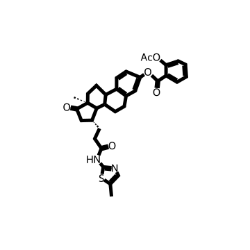 CC(=O)Oc1ccccc1C(=O)Oc1ccc2c(c1)CCC1C2CC[C@]2(C)C(=O)C[C@@H](CCC(=O)Nc3ncc(C)s3)C12